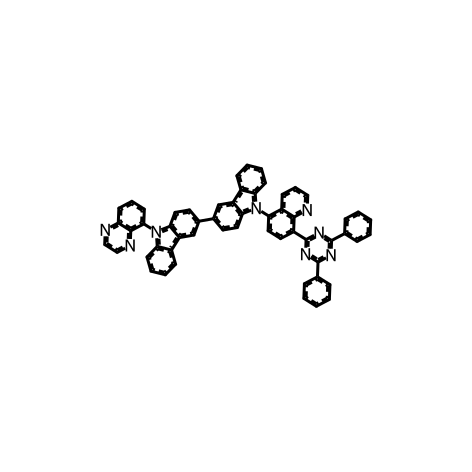 c1ccc(-c2nc(-c3ccccc3)nc(-c3ccc(-n4c5ccccc5c5cc(-c6ccc7c(c6)c6ccccc6n7-c6cccc7nccnc67)ccc54)c4cccnc34)n2)cc1